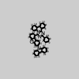 c1ccc(-c2nc(-c3ccccc3-c3ccccc3)nc(-c3cccc4oc5cc(-n6c7ccccc7c7ccccc76)ccc5c34)n2)cc1